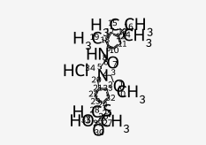 COCCN(CC(=O)Nc1ccc(C(C)(C)C)cc1C)Cc1ccc(SC(C)(C)C(=O)O)cc1.Cl